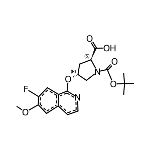 COc1cc2ccnc(O[C@@H]3C[C@@H](C(=O)O)N(C(=O)OC(C)(C)C)C3)c2cc1F